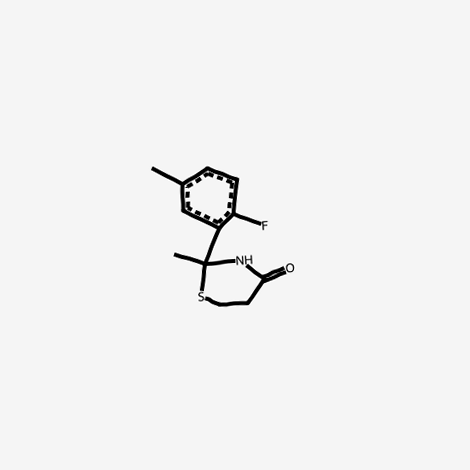 Cc1ccc(F)c(C2(C)NC(=O)CCS2)c1